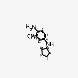 Nc1ccc(NC2CCCC2)cc1Cl